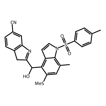 CSc1cc(C)c2c(ccn2S(=O)(=O)c2ccc(C)cc2)c1C(O)C1=Nc2cc(C#N)ccc2C1